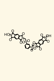 O=c1c2cc3c(=O)n(CS(=O)(=O)c4cccc(S(=O)(=O)On5c(=O)c6cc7c(=O)n(O)c(=O)c7cc6c5=O)c4)c(=O)c3cc2c(=O)n1O